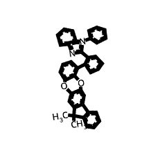 CC1(C)c2ccccc2-c2cc3c(cc21)Oc1cccc(-c2ccccc2-c2nc4ccccc4n2-c2ccccc2)c1O3